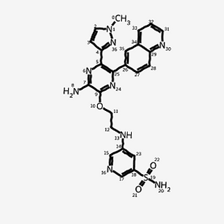 Cn1ccc(-c2nc(N)c(OCCNc3cncc(S(N)(=O)=O)c3)nc2-c2ccc3ncccc3c2)n1